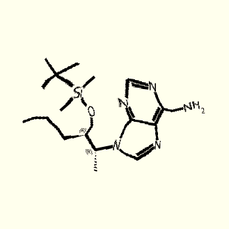 CCC[C@@H](O[Si](C)(C)C(C)(C)C)[C@@H](C)n1cnc2c(N)ncnc21